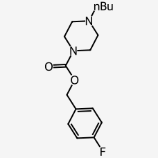 [CH2]CCCN1CCN(C(=O)OCc2ccc(F)cc2)CC1